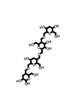 OCC1OC(COCC2C(CO)OC(COCC3CC(O)C(COCC4CC(O)C(O)OC4CO)OC3CO)C(O)C2O)C(O)CC1O